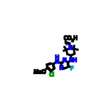 COc1ccc(Nc2ncc(F)c(NC3CC(C)(C)N(/C=C/C(=O)O)C(C)(C)C3)n2)cc1Cl